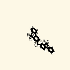 O=C(c1ccc(-c2ccccc2)c(C(F)(F)F)c1)c1ccc(-c2ccccc2)c(C(F)(F)F)c1